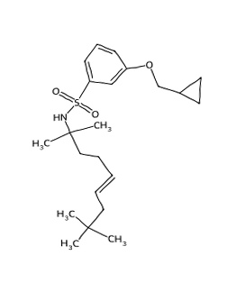 CC(C)(C)C/C=C/CCC(C)(C)NS(=O)(=O)c1cccc(OCC2CC2)c1